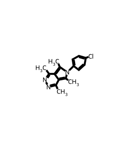 Cc1nnc(C)c2c(C)n(-c3ccc(Cl)cc3)c(C)c12